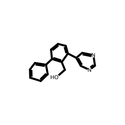 OCc1c(-c2ccccc2)cccc1-c1cncnc1